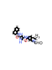 CC1Cc2ccc(C(=O)NC3CN[C@H](C(=O)N[C@@H]4CCCc5ccccc54)C3)cc2CN1C=O